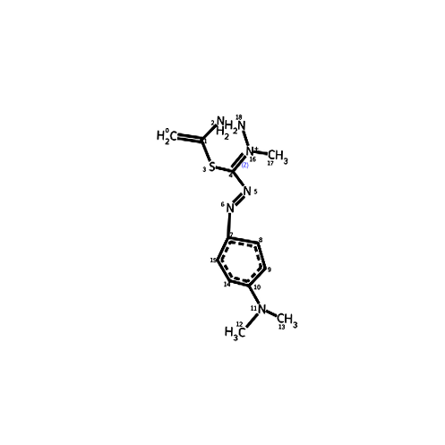 C=C(N)S/C(N=Nc1ccc(N(C)C)cc1)=[N+](/C)N